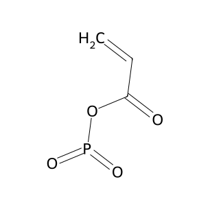 C=CC(=O)OP(=O)=O